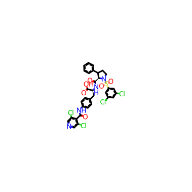 O=C(Nc1ccc(C[C@H](NC(=O)[C@H]2C(c3ccccc3)CCN2S(=O)(=O)c2cc(Cl)cc(Cl)c2)C(=O)O)cc1)c1c(Cl)cncc1Cl